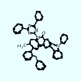 Cc1cc2c(cc1-c1ccccc1Cc1ccccc1)c1cc3c4ccccc4n(-c4ccccc4)c3cc1c(=O)n2-c1nc(-c2ccccc2)nc(-c2ccccc2)n1